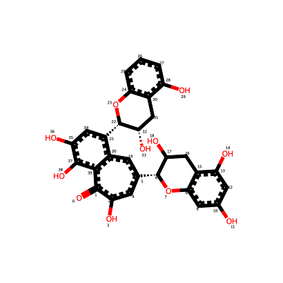 O=c1c(O)cc([C@H]2Oc3cc(O)cc(O)c3CC2O)cc2c([C@@H]3Oc4cccc(O)c4C[C@@H]3O)cc(O)c(O)c12